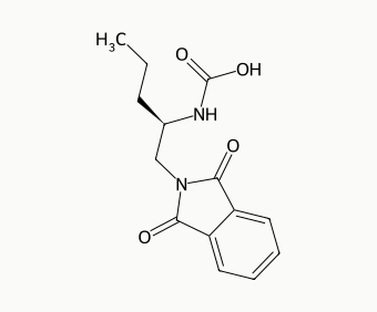 CCC[C@H](CN1C(=O)c2ccccc2C1=O)NC(=O)O